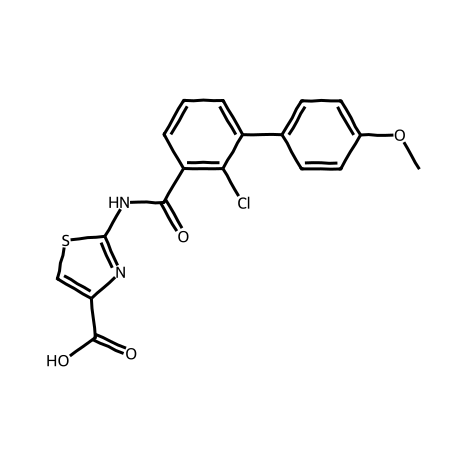 COc1ccc(-c2cccc(C(=O)Nc3nc(C(=O)O)cs3)c2Cl)cc1